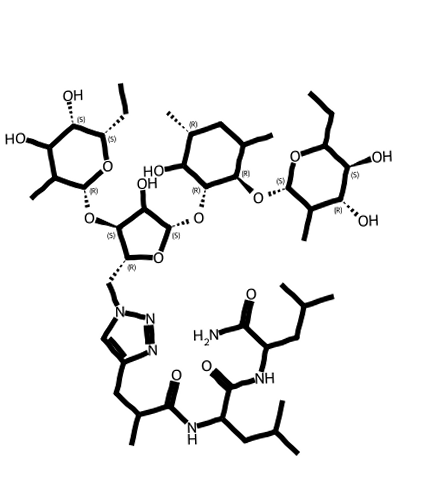 CCC1O[C@@H](O[C@@H]2C(C)C[C@@H](C)C(O)[C@H]2O[C@@H]2O[C@H](Cn3cc(CC(C)C(=O)NC(CC(C)C)C(=O)NC(CC(C)C)C(N)=O)nn3)[C@@H](O[C@H]3O[C@@H](CC)[C@@H](O)C(O)C3C)C2O)C(C)[C@@H](O)[C@@H]1O